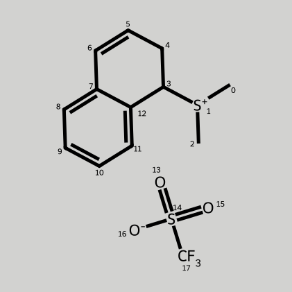 C[S+](C)C1CC=Cc2ccccc21.O=S(=O)([O-])C(F)(F)F